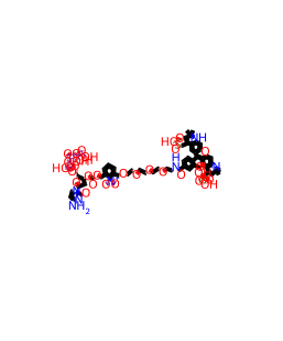 CC1(C)C=C(CS(=O)(=O)O)c2cc3c(cc2=N1)Oc1cc2c(cc1C=3c1ccc(C(=O)NCCOCCOCCOCCOCc3cccc(COC(=O)OC4C[C@H](n5ccc(N)nc5=O)O[C@@H]4COP(=O)(O)OP(=O)(O)OP(=O)(O)O)c3[N+](=O)[O-])cc1C(=O)O)C(CS(=O)(=O)O)=CC(C)(C)N2